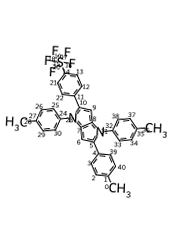 Cc1ccc(-c2cc3c(cc(-c4ccc(S(F)(F)(F)(F)F)cc4)n3-c3ccc(C)cc3)n2-c2ccc(C)cc2)cc1